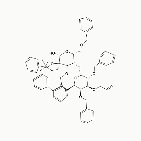 C=CCO[C@H]1[C@@H](OCc2ccccc2)[C@@H](COCc2ccccc2)O[C@H](O[C@H]2[C@@H](COCc3ccccc3)O[C@@H](O)[C@](CC[Si](C)(C)C)(OCc3ccccc3)[C@H]2OCc2ccccc2)[C@@H]1OCc1ccccc1